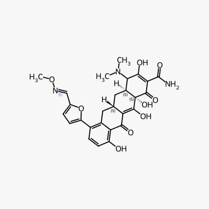 CO/N=C/c1ccc(-c2ccc(O)c3c2C[C@@H]2C[C@H]4C(N(C)C)C(O)=C(C(N)=O)C(=O)[C@@]4(O)C(O)=C2C3=O)o1